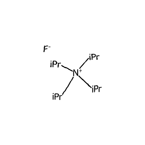 CC(C)[N+](C(C)C)(C(C)C)C(C)C.[F-]